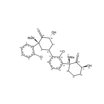 CN[C@]1(c2ccccc2Cl)CC(c2cccc([C@@]3(NC)CCC[C@H](O)C3=O)c2Cl)C[C@@H](O)C1=O